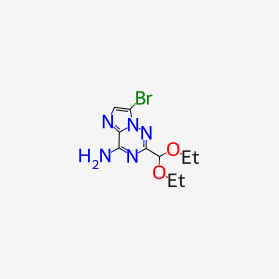 CCOC(OCC)c1nc(N)c2ncc(Br)n2n1